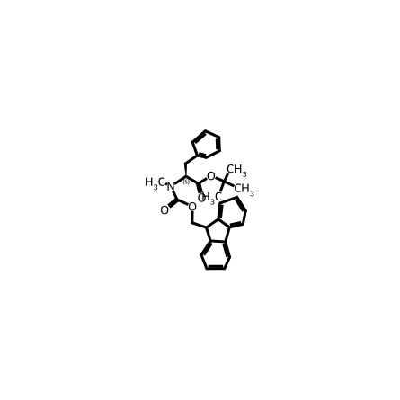 CN(C(=O)OCC1c2ccccc2-c2ccccc21)[C@@H](Cc1ccccc1)C(=O)OC(C)(C)C